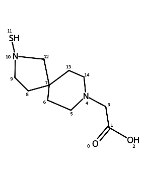 O=C(O)CN1CCC2(CCN(S)C2)CC1